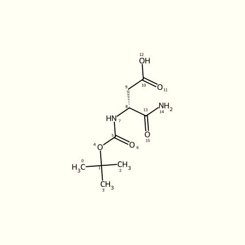 CC(C)(C)OC(=O)N[C@H](CC(=O)O)C(N)=O